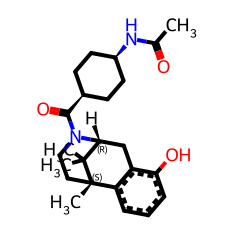 CC(=O)N[C@H]1CC[C@@H](C(=O)N2CC[C@@]3(C)c4cccc(O)c4C[C@@H]2C3(C)C)CC1